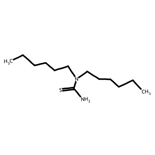 CCCCCCN(CCCCCC)C(N)=S